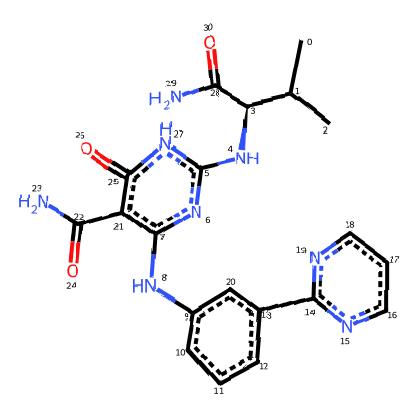 CC(C)[C@@H](Nc1nc(Nc2cccc(-c3ncccn3)c2)c(C(N)=O)c(=O)[nH]1)C(N)=O